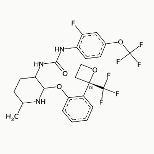 CC1CCC(NC(=O)Nc2ccc(OC(F)(F)F)cc2F)C(Oc2ccccc2[C@]2(C(F)(F)F)CCO2)N1